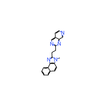 Cn1c(CCc2ncc3ccncc3n2)nc2c3ccccc3ccc21